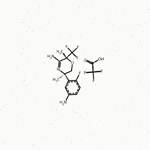 C[C@@]1(c2cc(N)ccc2F)CO[C@@](C)(C(F)(F)F)C(N)=N1.O=C(O)C(F)(F)F